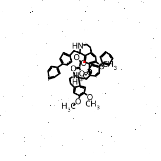 COc1cc2c(cc1OC)C(Cc1ccc(-c3ccccc3)cc1)(OC(=O)C(=O)OC1(Cc3ccc(-c4ccccc4)cc3)NCCc3cc(OC)c(OC)cc31)NCC2